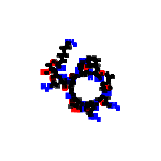 CC(C)C[C@@H]1NC(=O)[C@@H](Cc2ccccc2)NC(=O)[C@H](CCN)NC(=O)[C@@H](NC(=O)[C@H](CCN)NC(=O)[C@@H](NC(=O)CCCCCN)C(C)O)CCNC(=O)[C@H]([C@H](C)O)NC(=O)[C@H](CCN)NC(=O)[C@H](CCN)NC1=O